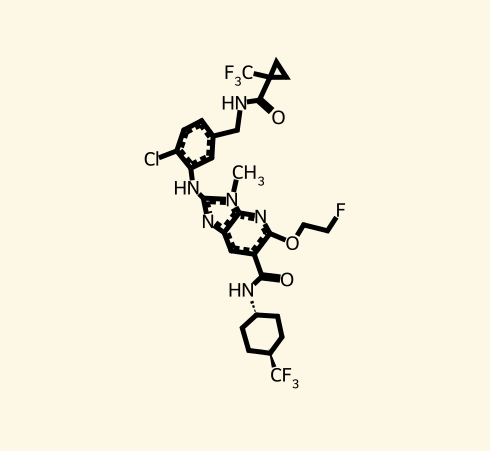 Cn1c(Nc2cc(CNC(=O)C3(C(F)(F)F)CC3)ccc2Cl)nc2cc(C(=O)N[C@H]3CC[C@H](C(F)(F)F)CC3)c(OCCF)nc21